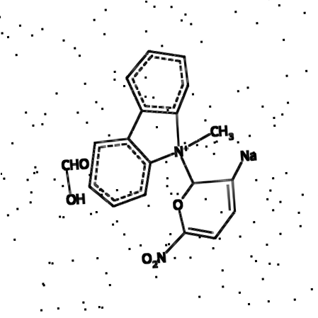 C[N+]1(C2OC([N+](=O)[O-])=CC=[C]2[Na])c2ccccc2-c2ccccc21.O=CO